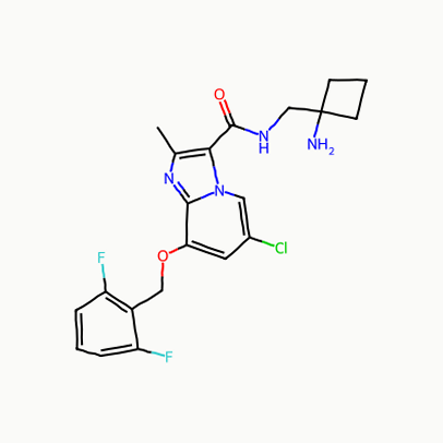 Cc1nc2c(OCc3c(F)cccc3F)cc(Cl)cn2c1C(=O)NCC1(N)CCC1